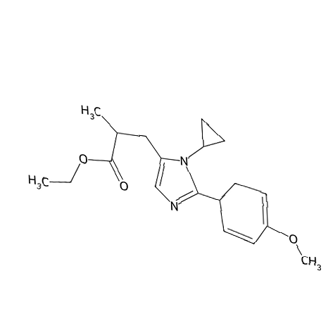 CCOC(=O)C(C)Cc1cnc(C2C=CC(OC)=CC2)n1C1CC1